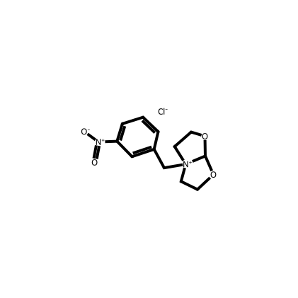 O=[N+]([O-])c1cccc(C[N+]23CCOC2OCC3)c1.[Cl-]